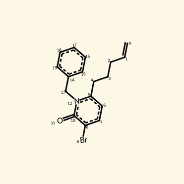 C=CCCCc1ccc(Br)c(=O)n1Cc1ccccc1